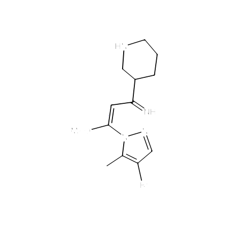 CO/C(=C/C(=N)C1CCCNC1)n1ncc(Br)c1C